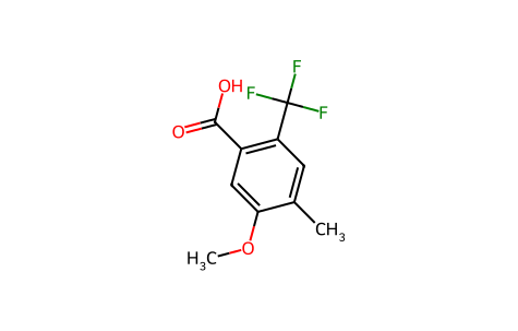 COc1cc(C(=O)O)c(C(F)(F)F)cc1C